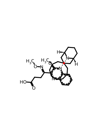 CO/N=C(\CCC(=O)O)c1nc2ccccc2n([C@H]2C[C@H]3CCC[C@@H](C2)N3[C@@H]2CCCCCC[C@@H](C)C2)c1=O